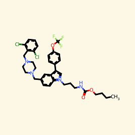 CCCCOC(=O)NCCCn1cc(-c2ccc(OC(F)(F)F)cc2)c2cc(CN3CCN(Cc4c(Cl)cccc4Cl)CC3)ccc21